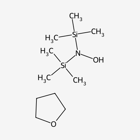 C1CCOC1.C[Si](C)(C)N(O)[Si](C)(C)C